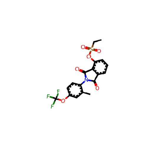 CCS(=O)(=O)Oc1cccc2c1C(=O)N(c1ccc(OC(F)(F)F)cc1C)C2=O